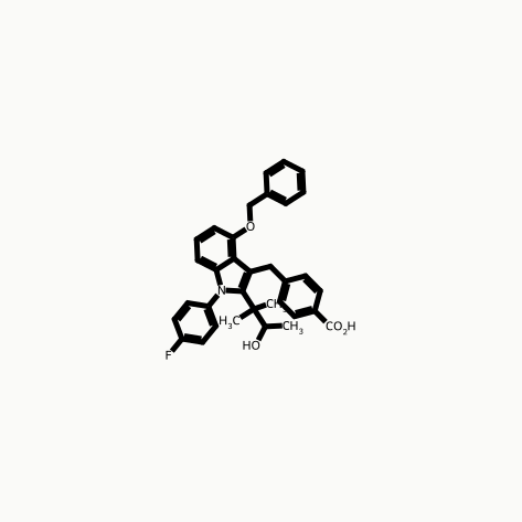 CC(O)C(C)(C)c1c(Cc2ccc(C(=O)O)cc2)c2c(OCc3ccccc3)cccc2n1-c1ccc(F)cc1